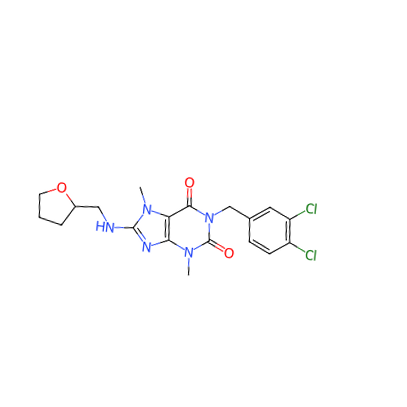 Cn1c(NCC2CCCO2)nc2c1c(=O)n(Cc1ccc(Cl)c(Cl)c1)c(=O)n2C